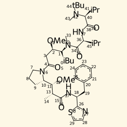 CC[C@H](C)[C@@H]([C@@H](CC(=O)N1CCC[C@H]1[C@H](OC)[C@@H](C)C(=O)N[C@@H](Cc1ccccc1)c1nccs1)OC)N(C)C(=O)[C@@H](NC(=O)[C@H](C(C)C)N(C)C(C)(C)C)C(C)C